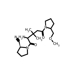 COCC1CCCN1C(=O)CC(C)(C)C(N)C(=O)N1CCC[C@H]1C#N